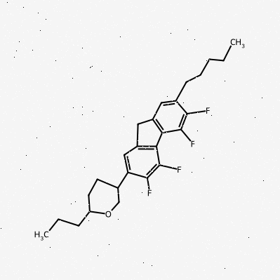 CCCCCc1cc2c(c(F)c1F)-c1c(cc(C3CCC(CCC)OC3)c(F)c1F)C2